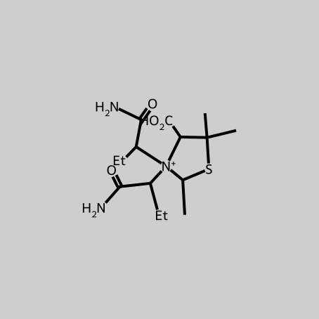 CCC(C(N)=O)[N+]1(C(CC)C(N)=O)C(C)SC(C)(C)C1C(=O)O